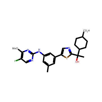 COc1nc(Nc2cc(C)cc(-c3cnc(C(C)(O)C4CCC(C(=O)O)CC4)s3)c2)ncc1F